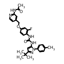 CC(=O)Nc1cc(COc2ccc(NC(=O)Nc3cc(C(C)(C)C)nn3-c3ccc(C)cc3)c(F)c2)ccn1